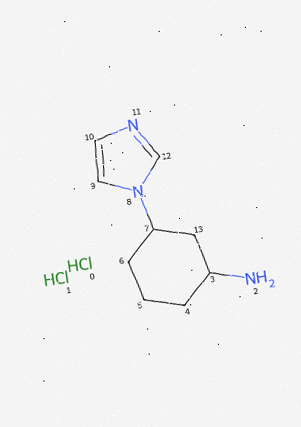 Cl.Cl.NC1CCCC(n2ccnc2)C1